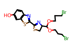 Oc1ccc2nc(C3=NC(C(OCCCBr)OCCCBr)CS3)sc2c1